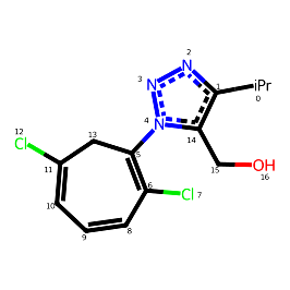 CC(C)c1nnn(C2=C(Cl)C=CC=C(Cl)C2)c1CO